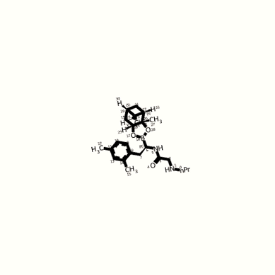 CCCNCC(=O)N[C@@H](Cc1ccc(C)cc1C)B1O[C@@H]2C[C@@H]3C[C@@H](C3(C)C)[C@]2(C)O1